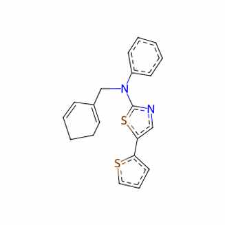 C1=CC(CN(c2ccccc2)c2ncc(-c3cccs3)s2)=CCC1